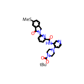 CSc1ccc2c(c1)C(=O)N(c1cccc(C(=O)Nc3cnccc3N3CCN(C(=O)OC(C)(C)C)CC3)n1)C2